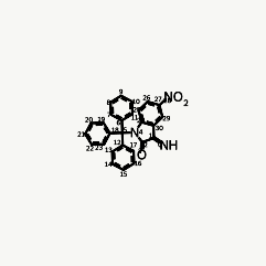 N=C1C(=O)N(C(c2ccccc2)(c2ccccc2)c2ccccc2)c2ccc([N+](=O)[O-])cc21